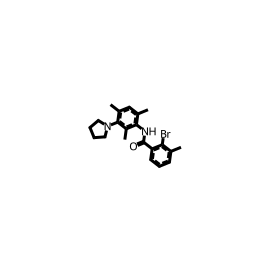 Cc1cccc(C(=O)Nc2c(C)cc(C)c(N3CCCC3)c2C)c1Br